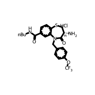 CCCCNC(=O)c1ccc2c(c1)N(Cc1ccc(OC(F)(F)F)cc1)C(=O)[C@@H](N)CS2.Cl